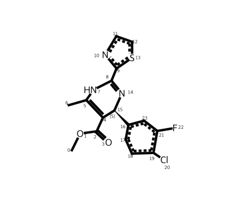 COC(=O)C1=C(C)NC(c2nccs2)=N[C@H]1c1ccc(Cl)c(F)c1